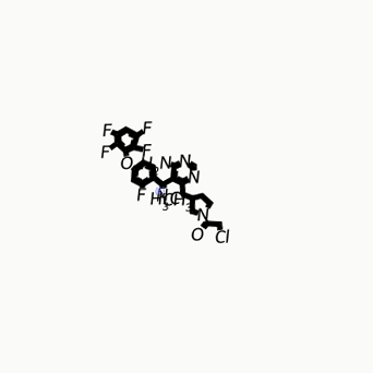 C/N=C(/c1ccc(Oc2c(F)c(F)cc(F)c2F)cc1F)c1c(N)ncnc1C(C)C1CCN(C(=O)CCl)C1